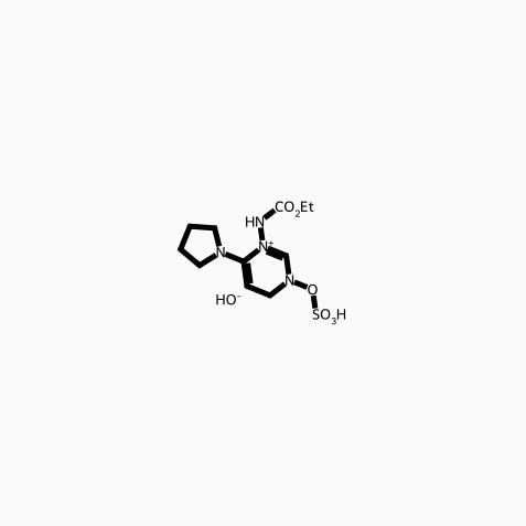 CCOC(=O)N[N+]1=CN(OS(=O)(=O)O)CC=C1N1CCCC1.[OH-]